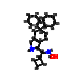 ON=C(C1=NCC2=C1C=CC(c1ccccc1)(c1ccccc1)C2)C1CCC1